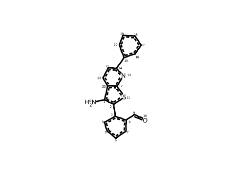 Nc1c(-c2ccccc2C=O)sc2nc(-c3ccccc3)ccc12